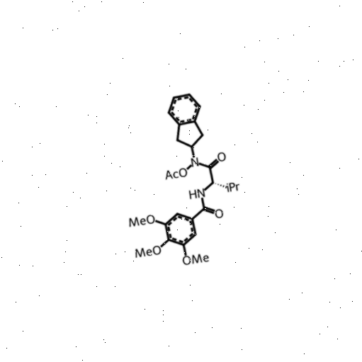 COc1cc(C(=O)N[C@H](C(=O)N(OC(C)=O)C2Cc3ccccc3C2)C(C)C)cc(OC)c1OC